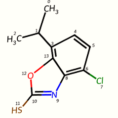 CC(C)c1ccc(Cl)c2nc(S)oc12